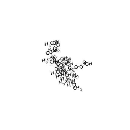 CC[C@@]1(O)C(=O)OCc2c1cc1n(c2=O)Cc2c-1nc1ccccc1c2CCN(C(=O)OCc1ccc(NC(=O)[C@H](C)NC(=O)[C@@H](NC(=O)CCC(=O)N(CCOCCOCCC(=O)O)C2CCN(C(=O)CCn3c(CN(C)NC)cc4cc(C)ccc43)CC2)C(C)C)c(O[C@@H]2O[C@H](C(=O)O)[C@@H](O)[C@H](O)[C@H]2O)c1)C(C)C